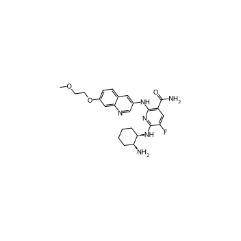 COCCOc1ccc2cc(Nc3nc(N[C@@H]4CCCC[C@@H]4N)c(F)cc3C(N)=O)cnc2c1